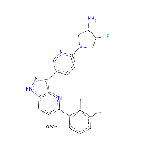 COc1cc2[nH]nc(-c3ccc(N4CC(N)C(F)C4)nc3)c2nc1-c1cccc(C)c1C